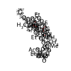 CCC1O[C@@H](O[C@@H]2C(CC)O[C@H](F)C(O[C@@H]3OC(CC)[C@@H](O[C@@H]4OC(COCc5ccccc5)[C@H](C)[C@H](C)C4OC(=O)c4ccccc4)[C@H](C)C3NC(=O)OCC(Cl)(Cl)Cl)[C@H]2C)C(C)[C@@H](C)[C@@H]1O[C@@H]1OC(CO[C@]2(C(=O)OC)C[C@H]3OC(=O)N[C@H]3C([C@H](OC(C)=O)[C@@H](CC)OC(C)=O)O2)[C@H](C)[C@H](C)C1OC(=O)c1ccccc1